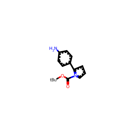 CC(C)(C)OC(=O)n1cccc1-c1ccc(N)cc1